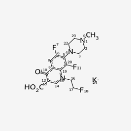 CN1CCN(c2c(F)cc3c(=O)c(C(=O)O)cn(CCF)c3c2F)CC1.[K]